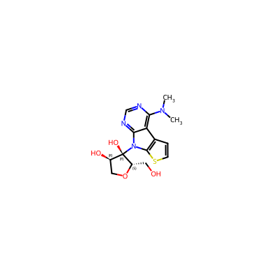 CN(C)c1ncnc2c1c1ccsc1n2[C@@]1(O)[C@H](O)CO[C@H]1CO